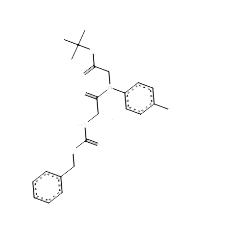 Cc1ccc(N(CC(=O)OC(C)(C)C)C(=O)[C@H](C)NC(=O)OCc2ccccc2)cc1